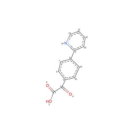 O=C(O)C(=O)c1ccc(-c2ccccn2)cc1